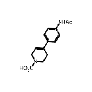 CC(=O)Nc1ccc(C2=CCN(C(=O)O)CC2)cc1